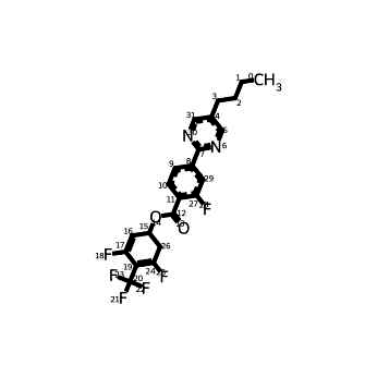 CCCCc1cnc(-c2ccc(C(=O)OC3C=C(F)C(C(F)(F)F)=C(F)C3)c(F)c2)nc1